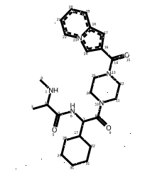 CNC(C)C(=O)NC(C(=O)N1CCN(C(=O)c2cc3ccccn3c2)CC1)C1CCCCC1